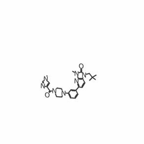 Cn1cnc(C(=O)N2CCN(c3cccc(-c4ccc5c(n4)n(C)c(=O)n5CC(C)(C)C)c3)CC2)c1